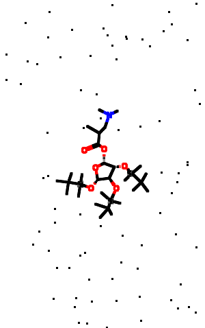 CC(CN(C)C)C(=O)O[C@H]1O[C@@H](O[Si](C)(C)C(C)(C)C)[C@H](O[Si](C)(C)C(C)(C)C)[C@H]1O[Si](C)(C)C(C)(C)C